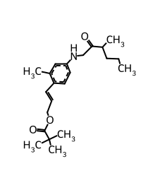 CCCC(C)C(=O)CNc1ccc(/C=C/COC(=O)C(C)(C)C)c(C)c1